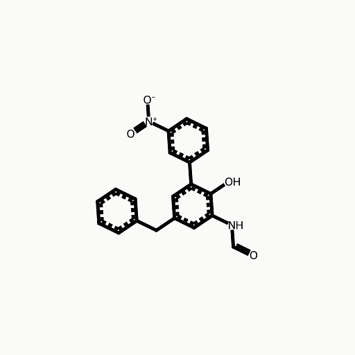 O=CNc1cc(Cc2ccccc2)cc(-c2cccc([N+](=O)[O-])c2)c1O